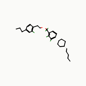 CCCCC[C@H]1CC[C@H](c2ccc(C(F)(F)OCCc3ccc(CCC)cc3F)c(F)c2F)CC1